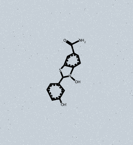 NC(=O)c1ccc2c(c1)SC(c1cccc(O)c1)N2O